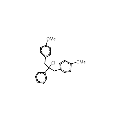 COc1ccc(CC(Cl)(Cc2ccc(OC)cc2)c2ccccc2)cc1